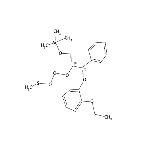 CCOc1ccccc1O[C@@H](c1ccccc1)[C@@H](CO[Si](C)(C)C)OOOSC